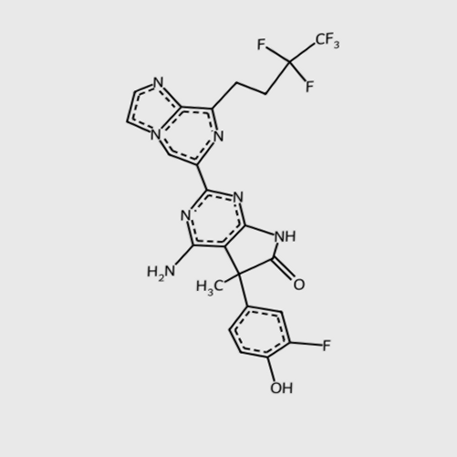 CC1(c2ccc(O)c(F)c2)C(=O)Nc2nc(-c3cn4ccnc4c(CCC(F)(F)C(F)(F)F)n3)nc(N)c21